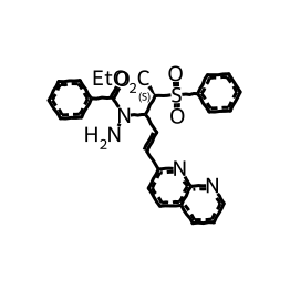 CCOC(=O)[C@H](C(C=Cc1ccc2cccnc2n1)N(N)C(=O)c1ccccc1)S(=O)(=O)c1ccccc1